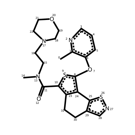 Cc1ncccc1Oc1sc(C(=O)N(C)CCN2CCOCC2)c2c1-c1sncc1CC2